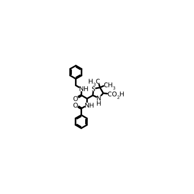 CC1(C)SC(C(NC(=O)c2ccccc2)C(=O)NCc2ccccc2)NC1C(=O)O